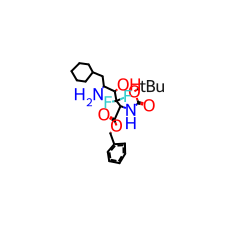 CC(C)(C)OC(=O)NC(C(=O)OCc1ccccc1)C(F)(F)C(O)C(N)CC1CCCCC1